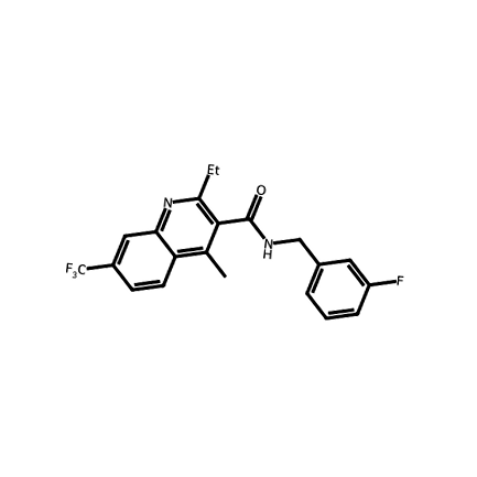 CCc1nc2cc(C(F)(F)F)ccc2c(C)c1C(=O)NCc1cccc(F)c1